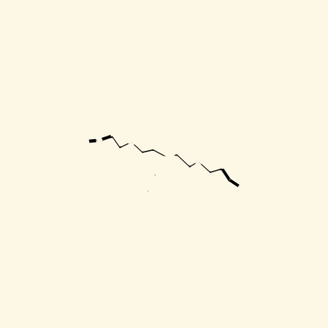 C=C=CCNCCNCCNCC=C=C.Cl.Cl.Cl